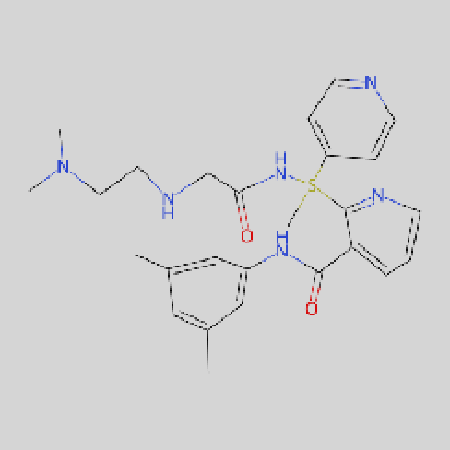 Cc1cc(C)cc(NC(=O)c2cccnc2S(C)(NC(=O)CNCCN(C)C)c2ccncc2)c1